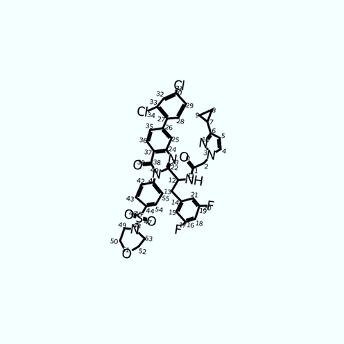 O=C(Cn1ccc(C2CC2)n1)NC(Cc1cc(F)cc(F)c1)c1nc2cc(-c3ccc(Cl)cc3Cl)ccc2c(=O)n1-c1ccc(S(=O)(=O)N2CCOCC2)cc1